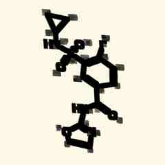 O=C(Nc1ncco1)c1ccc(F)c(S(=O)(=O)NC2CC2)c1